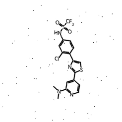 CN(C)c1cc(-c2nc(-c3ccc(NS(=O)(=O)C(F)(F)F)cc3Cl)cs2)ccn1